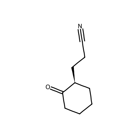 N#CCC[C@H]1CCCCC1=O